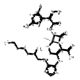 NCCSCC(N)CNc1ncsc1SC1=C(C(=O)O)N2C(=O)[C@@H](NC(=O)/C(=N\O)c3nc(N)sc3Cl)[C@@H]2SC1